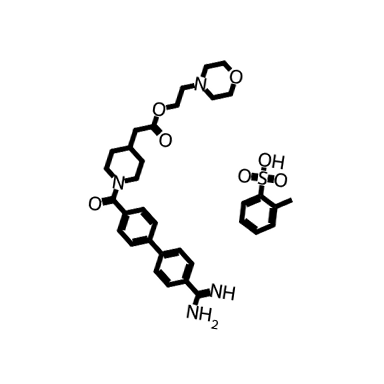 Cc1ccccc1S(=O)(=O)O.N=C(N)c1ccc(-c2ccc(C(=O)N3CCC(CC(=O)OCCN4CCOCC4)CC3)cc2)cc1